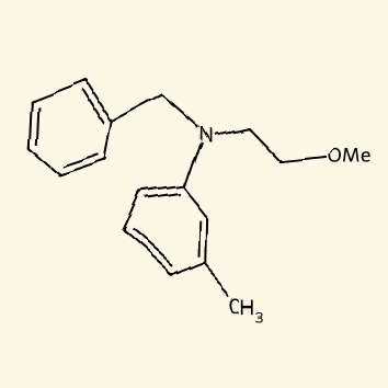 COCCN(Cc1ccccc1)c1cccc(C)c1